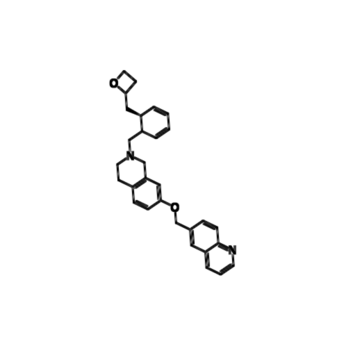 C1=CC(CN2CCc3ccc(OCc4ccc5ncccc5c4)cc3C2)[C@@H](CC2CCO2)C=C1